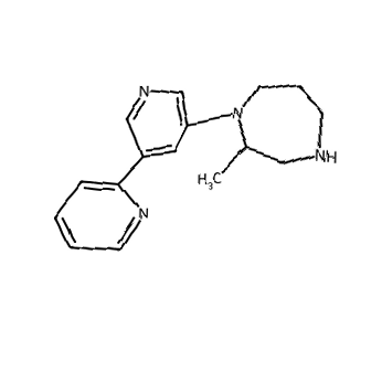 CC1CNCCCN1c1cncc(-c2ccccn2)c1